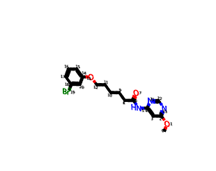 COc1cc(NC(=O)CCCCCOc2cccc(Br)c2)ncn1